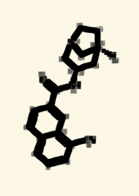 N#Cc1cccc2ccc(C(=O)N[C@@H]3C[C@@H]4CCN(C4)C3)cc12